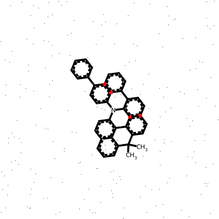 CC1(C)c2ccccc2-c2c(N(c3ccc(-c4ccccc4)cc3)c3ccccc3-c3ccccc3)ccc3cccc1c23